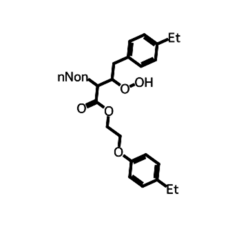 CCCCCCCCCC(C(=O)OCCOc1ccc(CC)cc1)C(Cc1ccc(CC)cc1)OO